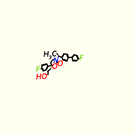 CC[C@@H](c1ccc(-c2ccc(F)cc2)cc1)N1CC[C@](CCCO)(c2ccc(F)cc2)OC1=O